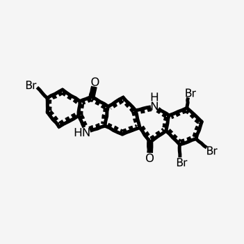 O=c1c2cc(Br)ccc2[nH]c2cc3c(=O)c4c(Br)c(Br)cc(Br)c4[nH]c3cc12